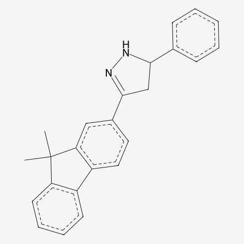 CC1(C)c2ccccc2-c2ccc(C3=NNC(c4ccccc4)C3)cc21